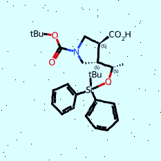 C[C@H](O[Si](c1ccccc1)(c1ccccc1)C(C)(C)C)[C@@H]1CN(C(=O)OC(C)(C)C)C[C@H]1C(=O)O